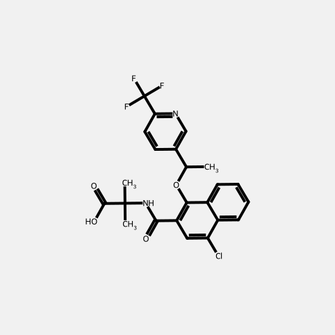 CC(Oc1c(C(=O)NC(C)(C)C(=O)O)cc(Cl)c2ccccc12)c1ccc(C(F)(F)F)nc1